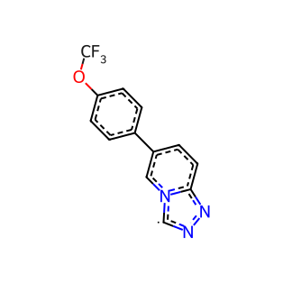 FC(F)(F)Oc1ccc(-c2ccc3nn[c]n3c2)cc1